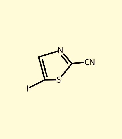 N#Cc1ncc(I)s1